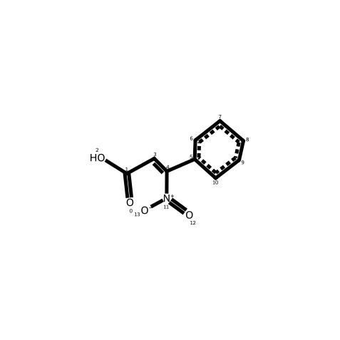 O=C(O)C=C(c1ccccc1)[N+](=O)[O-]